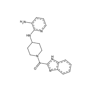 Nc1cccnc1NC1CCN(C(=O)c2nc3ccccc3[nH]2)CC1